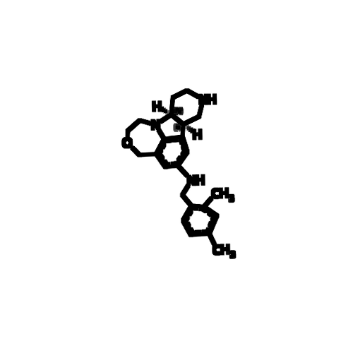 Cc1ccc(CNc2cc3c4c(c2)[C@@H]2CNCC[C@@H]2N4CCOC3)c(C)c1